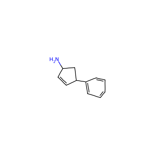 NC1C=CC(c2ccccc2)C1